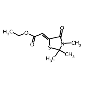 CCOC(=O)/C=C1\SC(C)(C)N(C)C1=O